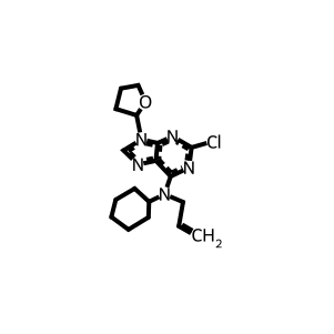 C=CCN(c1nc(Cl)nc2c1ncn2C1CCCO1)C1CCCCC1